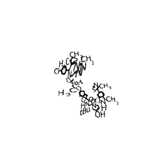 Cc1ncsc1-c1ccc([C@H](C)NC(=O)[C@@H]2C[C@@H](O)CN2C(=O)[C@@H](NC(=O)c2cc3cc(O[C@H](C)CNC(=O)C[C@@H]4N=C(c5ccc(Cl)cc5)c5c(sc(C)c5C)-n5c(C)nnc54)ccc3o2)C(C)(C)C)cc1